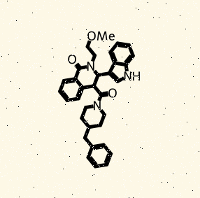 COCCN1C(=O)c2ccccc2C(C(=O)N2CCC(Cc3ccccc3)CC2)C1c1c[nH]c2ccccc12